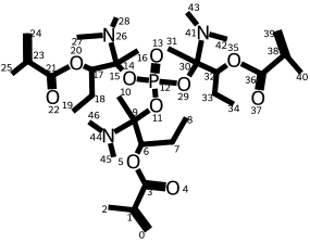 C=C(C)C(=O)OC(CC)C(C)(OP(=O)(OC(C)(C(CC)OC(=O)C(=C)C)N(C)C)OC(C)(C(CC)OC(=O)C(=C)C)N(C)C)N(C)C